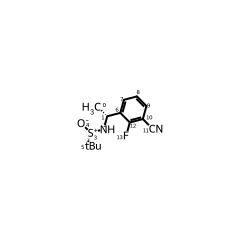 C[C@@H](N[S@@+]([O-])C(C)(C)C)c1cccc(C#N)c1F